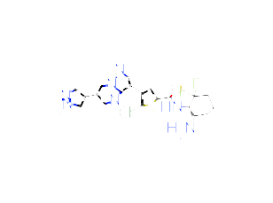 Cn1cc(-c2cnc3c(-c4cc(C(=O)NC5[C@H](N)CCCC5(F)F)sc4Cl)cnn3c2)cn1